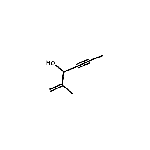 C=C(C)C(O)C#CC